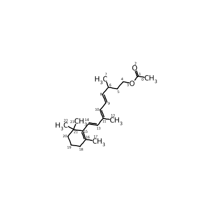 CC(=O)OCCC(C)C=CC=C(C)C=CC1=C(C)CCCC1(C)C